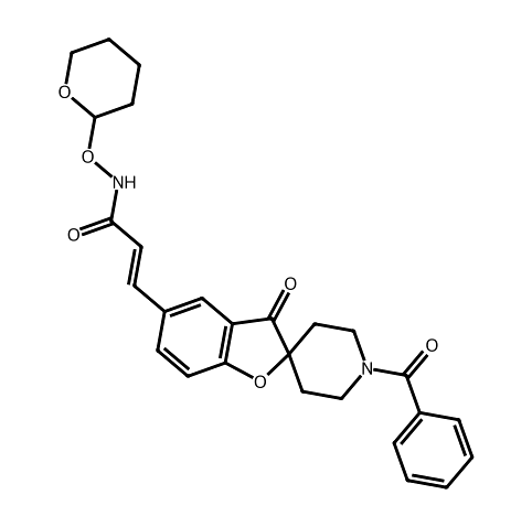 O=C(C=Cc1ccc2c(c1)C(=O)C1(CCN(C(=O)c3ccccc3)CC1)O2)NOC1CCCCO1